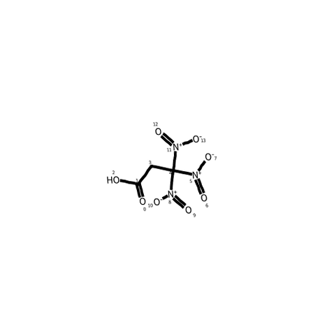 O=C(O)CC([N+](=O)[O-])([N+](=O)[O-])[N+](=O)[O-]